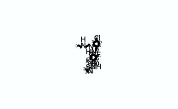 CCNCCNc1cc(Cl)ccc1CNc1cc(F)c(S(=O)(=O)Nc2nccs2)cc1F